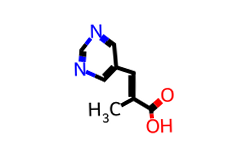 C/C(=C\c1cncnc1)C(=O)O